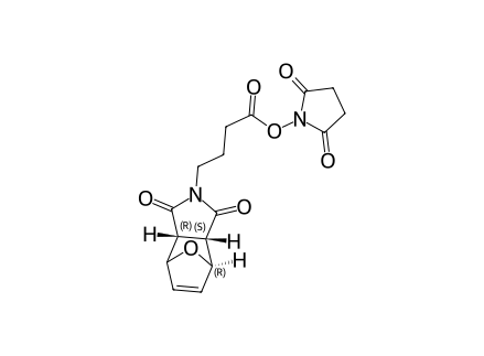 O=C(CCCN1C(=O)[C@@H]2[C@H]3C=CC(O3)[C@@H]2C1=O)ON1C(=O)CCC1=O